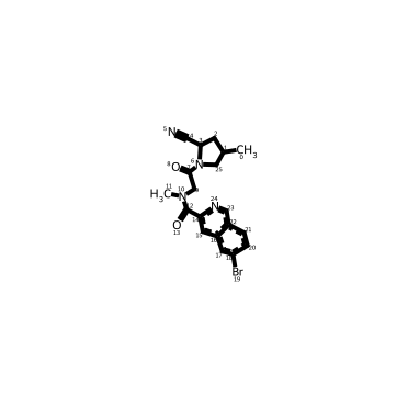 CC1CC(C#N)N(C(=O)CN(C)C(=O)c2cc3cc(Br)ccc3cn2)C1